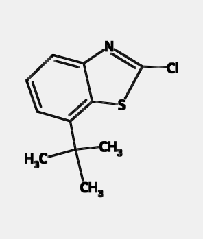 CC(C)(C)c1cccc2nc(Cl)sc12